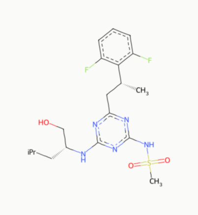 CC(C)C[C@H](CO)Nc1nc(C[C@@H](C)c2c(F)cccc2F)nc(NS(C)(=O)=O)n1